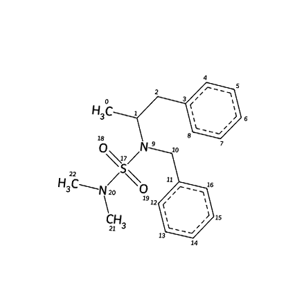 CC(Cc1ccccc1)N(Cc1ccccc1)S(=O)(=O)N(C)C